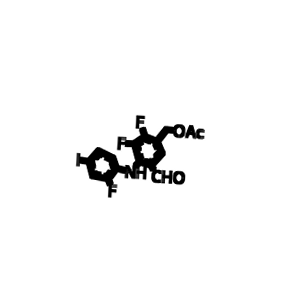 CC(=O)OCc1cc(C=O)c(Nc2ccc(I)cc2F)c(F)c1F